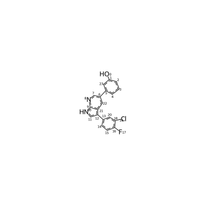 Oc1cccc(-c2cnc3[nH]cc(-c4ccc(F)c(Cl)c4)c3c2)c1